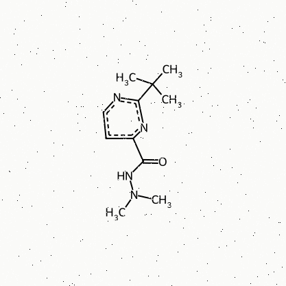 CN(C)NC(=O)c1ccnc(C(C)(C)C)n1